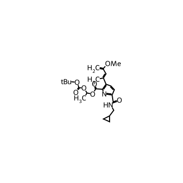 C=C(/C=C(\C)c1ccc(C(=O)NCC2CC2)nc1C(=O)OC(C)OC(=O)OC(C)(C)C)OC